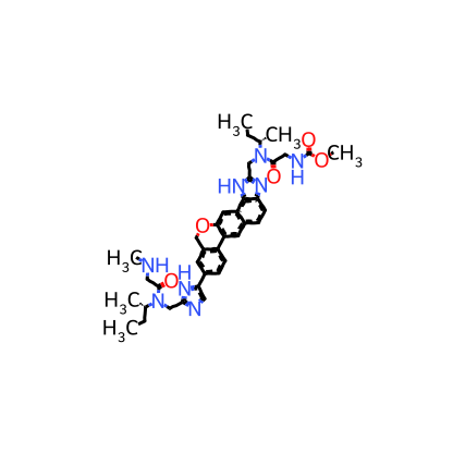 CC[C@H](C)N(Cc1ncc(-c2ccc3c(c2)COc2cc4c(ccc5nc(CN(C(=O)CNC(=O)OC)[C@@H](C)CC)[nH]c54)cc2-3)[nH]1)C(=O)CNC